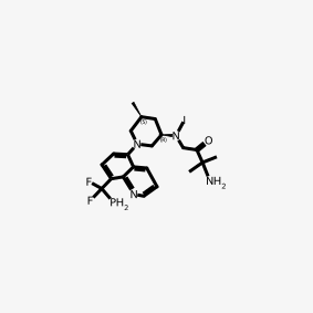 C[C@H]1C[C@@H](N(I)CC(=O)C(C)(C)N)CN(c2ccc(C(F)(F)P)c3ncccc23)C1